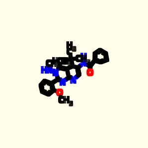 CNN1C(c2ccccc2OC)=NC2=NC=C(NC(=O)c3ccccc3)C(C(C)(C)C)C2=C1C